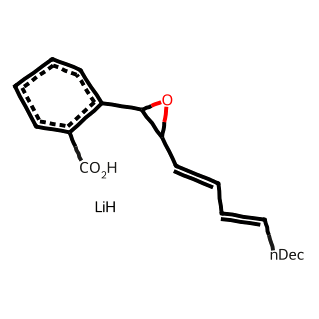 CCCCCCCCCCC=CC=CC1OC1c1ccccc1C(=O)O.[LiH]